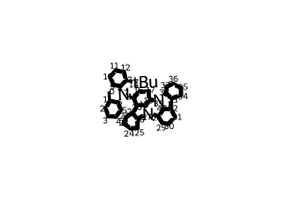 Cc1ccccc1N(c1ccccc1C(C)(C)C)c1ccc2c3c1c1ccccc1n3c1cccc3c4ccccc4n2c31